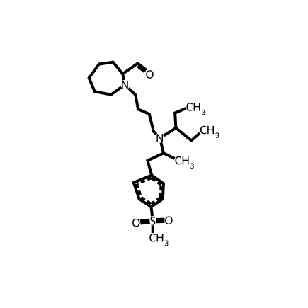 CCC(CC)N(CCCCN1CCCCCC1C=O)C(C)Cc1ccc(S(C)(=O)=O)cc1